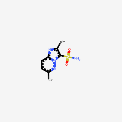 CCCc1ccc2nc(CCC)c(S(N)(=O)=O)n2n1